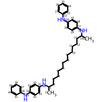 CC(CCCCCCCCCCCCC(C)Nc1ccc(Nc2ccccc2)cc1)Nc1ccc(Nc2ccccc2)cc1